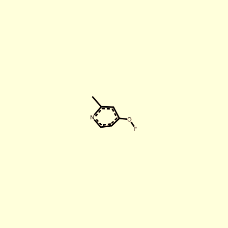 Cc1cc(OF)ccn1